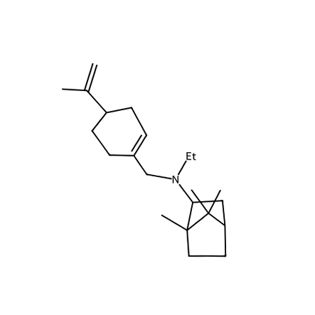 C=C(C)C1CC=C(CN(CC)C2CC3CCC2(C)C3(C)C)CC1